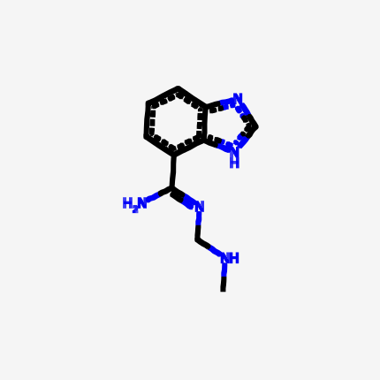 CNCN=C(N)c1cccc2nc[nH]c12